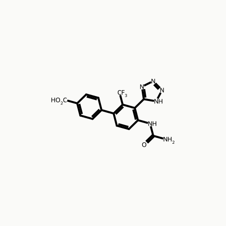 NC(=O)Nc1ccc(-c2ccc(C(=O)O)cc2)c(C(F)(F)F)c1-c1nnn[nH]1